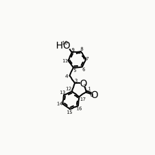 O=C1OC(Cc2cccc(O)c2)c2ccccc21